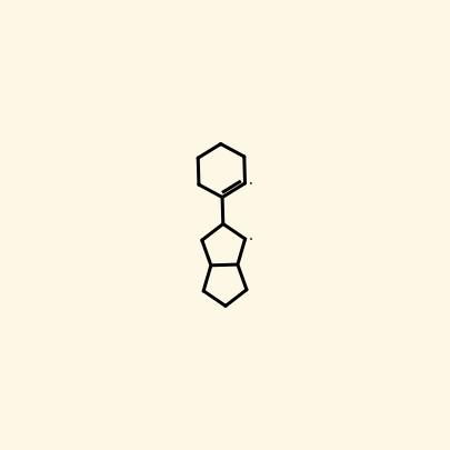 [C]1=C(C2[CH]C3CCCC3C2)CCCC1